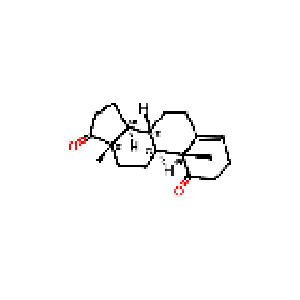 C[C@]12C(=O)CCC=C1CC[C@@H]1[C@@H]2CC[C@]2(C)C(=O)CC[C@@H]12